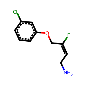 NC/C=C(/F)COc1cccc(Cl)c1